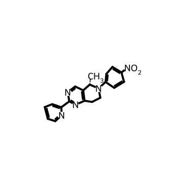 C[C@H]1c2cnc(-c3ccccn3)nc2CCN1c1ccc([N+](=O)[O-])cc1